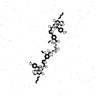 CCCCC[C@@H](C(=O)NCNC(=O)c1ccc(-c2ccc(C(=O)NCO[PH](=O)OCNC(=O)c3ccc(-c4ccc(C(=O)NCNC(=O)[C@H](CCCCC)[C@@H](CC)N(C=O)OC(=O)c5ccc(OC)cc5)o4)cc3OCC)c(OCC)c2)o1)[C@@H](CC)N(C=O)OC(=O)c1ccc(OC)cc1